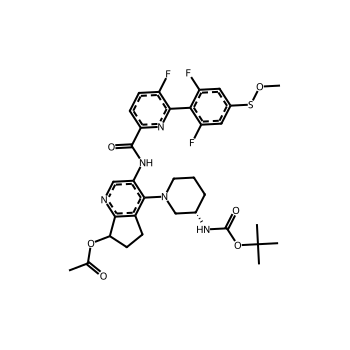 COSc1cc(F)c(-c2nc(C(=O)Nc3cnc4c(c3N3CCC[C@H](NC(=O)OC(C)(C)C)C3)CCC4OC(C)=O)ccc2F)c(F)c1